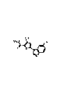 COC(=O)c1sc(-n2cnc3ccc(C#N)cc32)cc1O